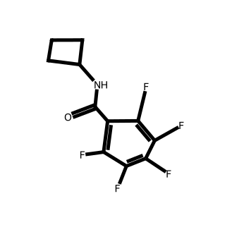 O=C(NC1CCC1)c1c(F)c(F)c(F)c(F)c1F